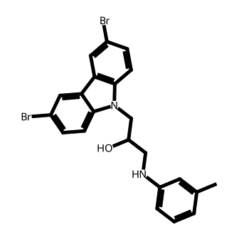 Cc1cccc(NCC(O)Cn2c3ccc(Br)cc3c3cc(Br)ccc32)c1